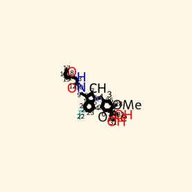 COc1cc(/C=C2/C(C)=C(CNC(=O)Cc3ccco3)c3cc(F)ccc32)cc(OC)c1B(O)O